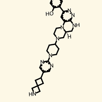 Oc1ccccc1-c1cc2c(nn1)NC[C@H]1CN(C3CCN(c4ncc(C5CC6(CNC6)C5)cn4)CC3)CCN21